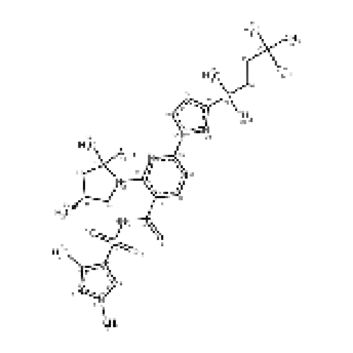 Cc1nn(C)cc1S(=O)(=O)NC(=O)c1ccc(-n2ccc(S(C)(C)CCC(C)(C)C)n2)nc1N1C[C@@H](C)CC1(C)C